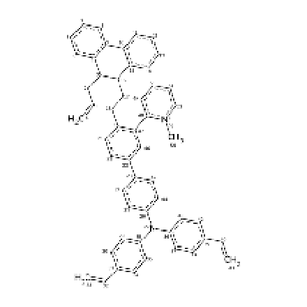 C=CCC1c2ccccc2-c2ccccc2C1CCc1ccc(-c2ccc(N(c3ccc(C=C)cc3)c3ccc(C=C)cc3)cc2)cc1-c1cccc[n+]1C